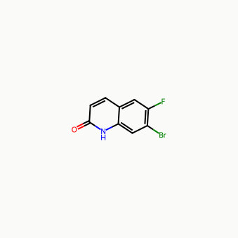 O=c1ccc2cc(F)c(Br)cc2[nH]1